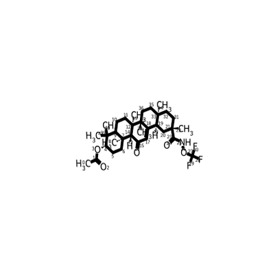 CC(=O)O[C@H]1CC[C@@]2(C)C(CC[C@]3(C)[C@@H]2C(=O)C=C2[C@@H]4C[C@@](C)(C(=O)NOC(F)(F)F)CC[C@]4(C)CC[C@]23C)C1(C)C